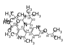 Cc1nc(C)c([C@H](OC(C)(C)C)C(=O)O)c(N2CCC(C)(C)CC2)c1-c1ccc(OCC(C)C)nc1